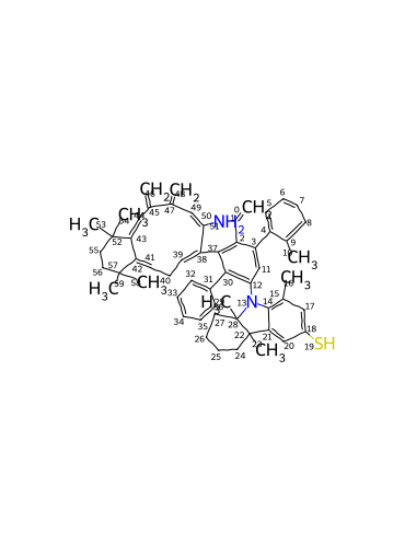 C=Cc1c(-c2ccccc2C)cc(N2c3c(C)cc(S)cc3C3(C)CCCCC23C)c(-c2ccccc2)c1C1=C\C/C=C2\C(=C/C(=C)C(=C)/C=C\1N)C(C)(C)CCC2(C)C